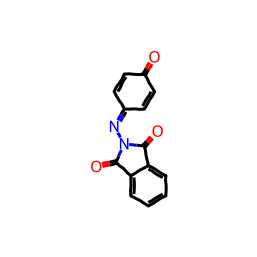 O=C1C=CC(=NN2C(=O)c3ccccc3C2=O)C=C1